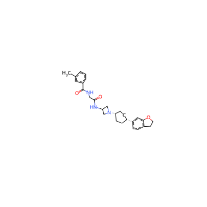 Cc1cccc(C(=O)NCC(=O)NC2CN([C@H]3CC[C@@H](c4ccc5c(c4)OCC5)CC3)C2)c1